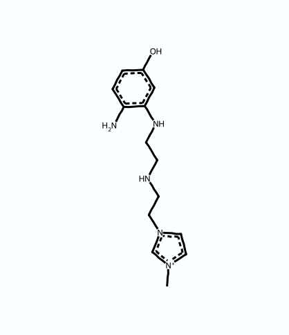 C[n+]1ccn(CCNCCNc2cc(O)ccc2N)c1